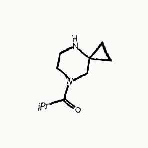 CC(C)C(=O)N1CCNC2(CC2)C1